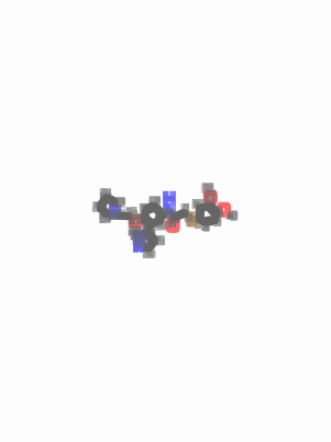 COc1ccc(SCC(=O)Nc2ccc(OCCN3CCCC3)c(-c3ccnn3C)c2)cc1OC